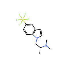 C[C@H](Cn1ccc2cc(S(F)(F)(F)(F)F)ccc21)N(C)C